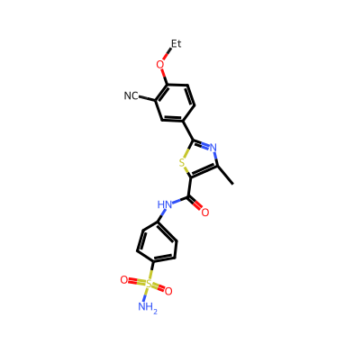 CCOc1ccc(-c2nc(C)c(C(=O)Nc3ccc(S(N)(=O)=O)cc3)s2)cc1C#N